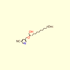 CCCCCCCCCCCCCCCCCCC[C@@H](CO)OCc1cncc(C#N)c1